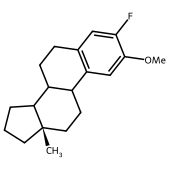 COc1cc2c(cc1F)CCC1C2CC[C@]2(C)CCCC12